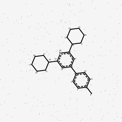 Cc1ccc(-c2cc(C3CCCCC3)nc(C3CCCCC3)c2)cc1